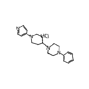 Cl.c1ccc(N2CCN(C3CCN(c4ccncc4)CC3)CC2)cc1